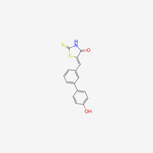 O=C1NC(=S)S/C1=C\c1cccc(-c2ccc(O)cc2)c1